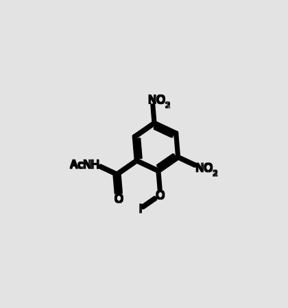 CC(=O)NC(=O)c1cc([N+](=O)[O-])cc([N+](=O)[O-])c1OI